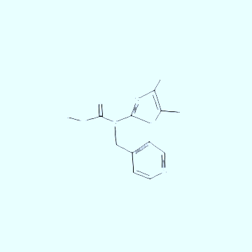 CC(C)(C)OC(=O)N(Cc1ccncc1)c1nc(Cl)c(C=O)s1